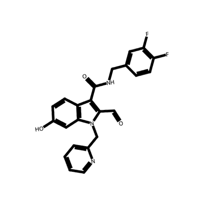 O=Cc1c(C(=O)NCc2ccc(F)c(F)c2)c2ccc(O)cc2n1Cc1ccccn1